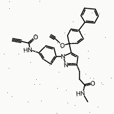 C#COC1(c2cc(CCC(=O)NC)nn2-c2ccc(NC(=O)C#C)cc2)C=CC(c2ccccc2)=CC1